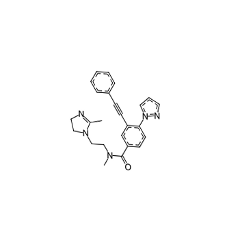 CC1=NCCN1CCN(C)C(=O)c1ccc(-n2cccn2)c(C#Cc2ccccc2)c1